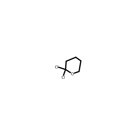 ClC1(Cl)CCCCO1